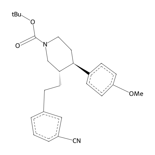 COc1ccc([C@@H]2CCN(C(=O)OC(C)(C)C)C[C@H]2CCc2cccc(C#N)c2)cc1